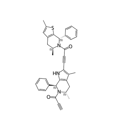 C#CC(=O)N1[C@@H](c2ccccc2)c2[nH]c(C#CC(=O)N3[C@@H](c4ccccc4)c4sc(C)cc4C[C@@H]3C)c(C)c2C[C@@H]1C